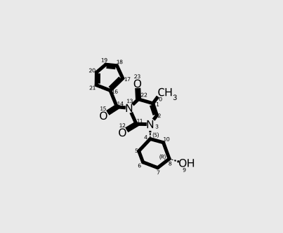 Cc1cn([C@H]2CCC[C@@H](O)C2)c(=O)n(C(=O)c2ccccc2)c1=O